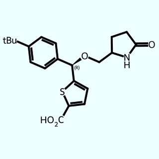 CC(C)(C)c1ccc([C@@H](OCC2CCC(=O)N2)c2ccc(C(=O)O)s2)cc1